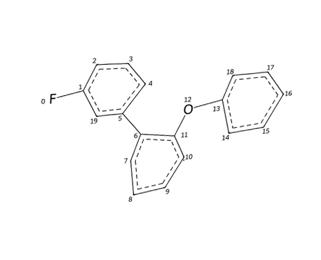 Fc1cccc(-c2ccc[c]c2Oc2ccccc2)c1